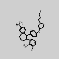 CNc1ccc2c(c1)CCCC(c1cccc(F)c1C)=C2c1ccc(OC2CCN(CCCF)C2)cc1